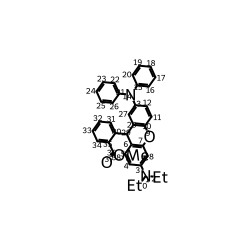 CCN(CC)c1ccc2c(c1)Oc1ccc(N(c3ccccc3)c3ccccc3)cc1C2c1ccccc1C(=O)OC